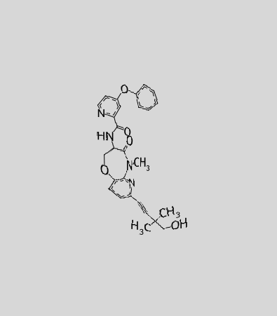 CN1C(=O)C(NC(=O)c2cc(Oc3ccccc3)ccn2)COc2ccc(C#CC(C)(C)CO)nc21